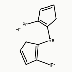 CC(C)C1=[C]([Re][C]2=C(C(C)C)C=CC2)CC=C1.[H-]